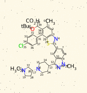 Cc1cc2nc(-c3ccc4c(c3)c(C3CCN([C@@H]5CCN(C)C5)CC3)nn4C)sc2c(-c2ccc(Cl)cc2)c1C(OC(C)(C)C)C(=O)O